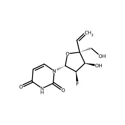 C=C[C@]1(CO)O[C@@H](n2ccc(=O)[nH]c2=O)[C@H](F)[C@@H]1O